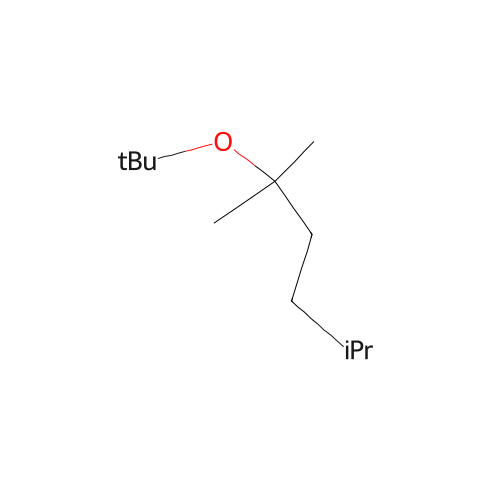 CC(C)CCC(C)(C)OC(C)(C)C